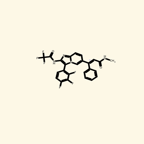 CNC(=O)/C=C(\c1ccccc1)c1ccc2nc(NC(=O)C(F)(F)F)c(-c3ccc(F)c(F)c3F)n2c1